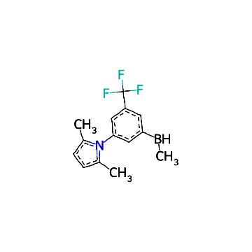 CBc1cc(-n2c(C)ccc2C)cc(C(F)(F)F)c1